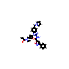 C=CC(=O)N1CC[C@]2(C1)C[C@H](n1c(NC(=O)c3cc(-c4ccccc4)no3)nc3cc(CN4CCCC4)ccc31)C2